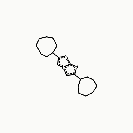 c1c(C2CCCCCCC2)nc2sc(C3CCCCCCC3)cn12